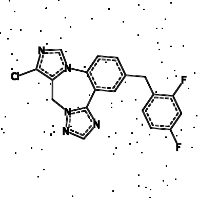 Fc1ccc(Cc2ccc3c(c2)-c2ncnn2Cc2c(Cl)ncn2-3)c(F)c1